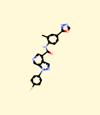 Cc1cc(-c2nnco2)ccc1NC(=O)c1cncc2c1cnn2-c1ccc(F)cc1